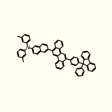 Cc1cccc(N(c2cccc(C)c2)c2ccc3cc(-c4cc5c6ccccc6c(-c6ccc(C7(c8ccccc8)c8ccccc8-c8ccccc87)cc6)cc5c5ccccc45)ccc3c2)c1